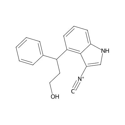 [C-]#[N+]c1c[nH]c2cccc(C(CCO)c3ccccc3)c12